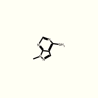 Cn1ncc2c([SiH3])ncnc21